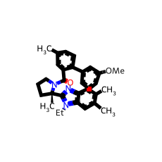 CCn1c([C@]2(C)CCCN2C(=O)c2cc(C)ccc2-c2cccc(OC)c2)nc2cc(C)c(C)cc21